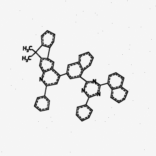 CC1(C)c2ccccc2-c2cc3c(-c4cc(-c5nc(-c6ccccc6)nc(-c6cccc7ccccc67)n5)c5ccccc5c4)cc(-c4ccccc4)nc3cc21